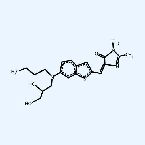 CCCCN(CC(O)CO)c1ccc2cc(/C=C3/N=C(C)N(C)C3=O)sc2c1